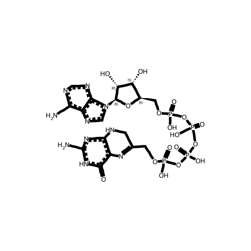 Nc1nc2c(c(=O)[nH]1)N=C(COP(=O)(O)OP(=O)(O)OP(=O)(O)OP(=O)(O)OC[C@H]1O[C@@H](n3cnc4c(N)ncnc43)[C@H](O)[C@@H]1O)CN2